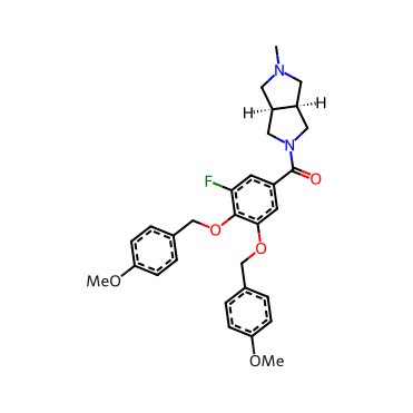 COc1ccc(COc2cc(C(=O)N3C[C@H]4CN(C)C[C@H]4C3)cc(F)c2OCc2ccc(OC)cc2)cc1